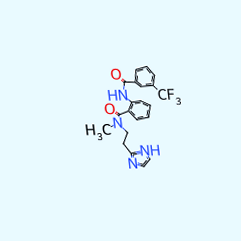 CN(CCc1ncc[nH]1)C(=O)c1ccccc1NC(=O)c1cccc(C(F)(F)F)c1